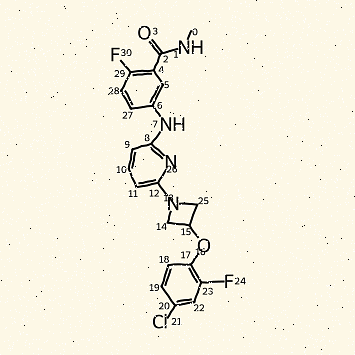 CNC(=O)c1cc(Nc2cccc(N3CC(Oc4ccc(Cl)cc4F)C3)n2)ccc1F